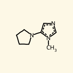 Cn1cncc1N1CCCC1